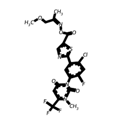 COC/C(C)=N\OC(=O)c1cnc(-c2cc(-n3c(=O)cc(C(F)(F)F)n(C)c3=O)c(F)cc2Cl)s1